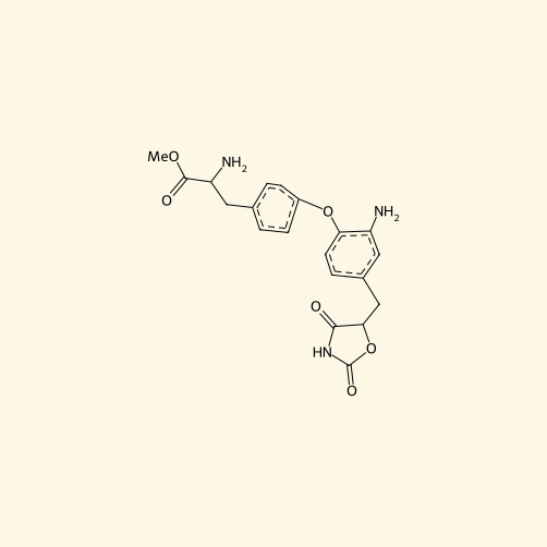 COC(=O)C(N)Cc1ccc(Oc2ccc(CC3OC(=O)NC3=O)cc2N)cc1